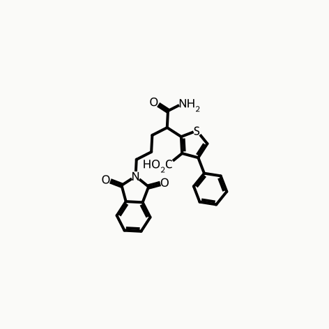 NC(=O)C(CCCN1C(=O)c2ccccc2C1=O)c1scc(-c2ccccc2)c1C(=O)O